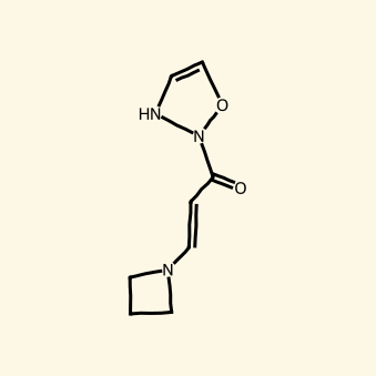 O=C(C=CN1CCC1)N1NC=CO1